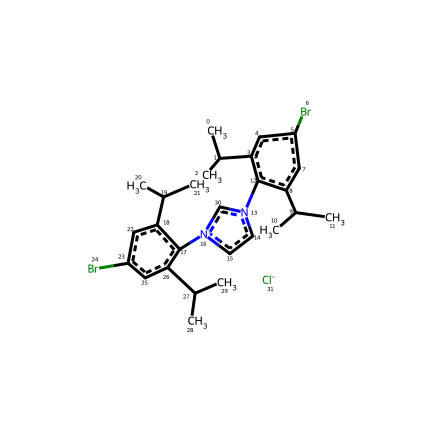 CC(C)c1cc(Br)cc(C(C)C)c1-n1cc[n+](-c2c(C(C)C)cc(Br)cc2C(C)C)c1.[Cl-]